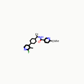 CCC(NC(=O)c1ccc(OC)nc1)C1CCC(c2ccnc(F)c2C)CC1